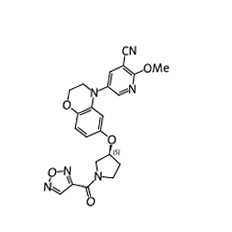 COc1ncc(N2CCOc3ccc(O[C@H]4CCN(C(=O)c5cnon5)C4)cc32)cc1C#N